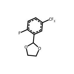 Fc1ccc(C(F)(F)F)cc1C1OCCO1